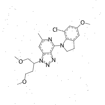 COCCC(COC)n1nnc2c(N3CCc4cc(OC)cc(Cl)c43)nc(C)cc21